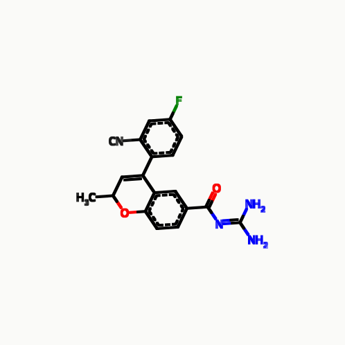 [C-]#[N+]c1cc(F)ccc1C1=CC(C)Oc2ccc(C(=O)N=C(N)N)cc21